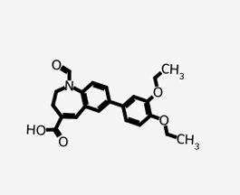 CCOc1ccc(-c2ccc3c(c2)C=C(C(=O)O)CCN3C=O)cc1OCC